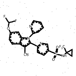 N#Cc1c(-c2ccc(S(=O)(=O)NC3(C(F)(F)F)CC3)cn2)n(-c2ccccn2)c2cc(OC(F)F)ccc12